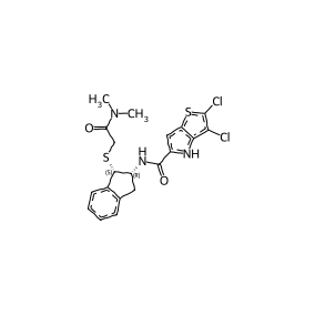 CN(C)C(=O)CS[C@H]1c2ccccc2C[C@H]1NC(=O)c1cc2sc(Cl)c(Cl)c2[nH]1